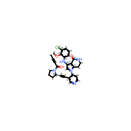 CC#CC(=O)N1CCC[C@@H]1C#Cc1cnccc1-n1cc(Nc2cccc(Cl)c2OC)c2c1CCNC2=O